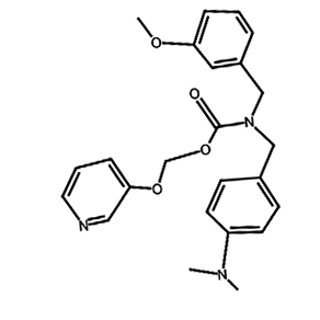 COc1cccc(CN(Cc2ccc(N(C)C)cc2)C(=O)OCOc2cccnc2)c1